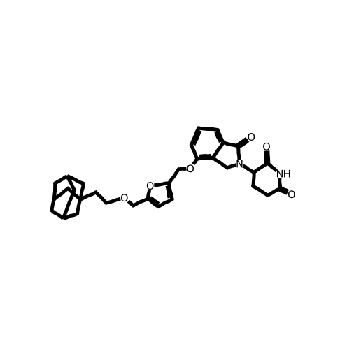 O=C1CCC(N2Cc3c(OCc4ccc(COCCC56CC7CC(CC(C7)C5)C6)o4)cccc3C2=O)C(=O)N1